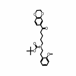 COc1ccccc1CCN(CCCCC(=O)c1ccc2c(c1)OCCO2)C(=O)OC(C)(C)C